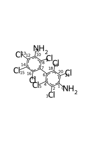 Nc1c(Cl)c(Cl)c(-c2c(Cl)c(N)c(Cl)c(Cl)c2Cl)c(Cl)c1Cl